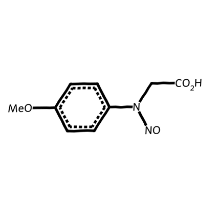 COc1ccc(N(CC(=O)O)N=O)cc1